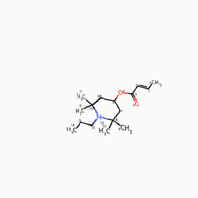 C/C=C/C(=O)OC1CC(C)(C)N(CCC)C(C)(C)C1